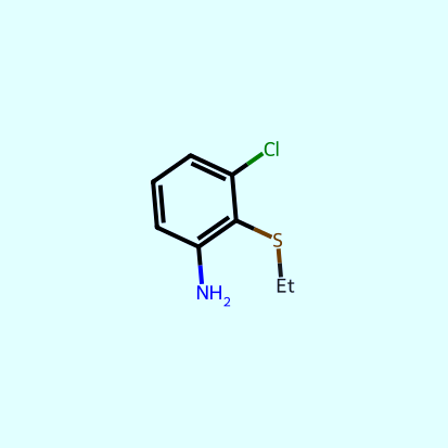 CCSc1c(N)cccc1Cl